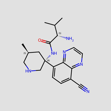 CC(C)[C@H](N)C(=O)N[C@]1(c2ccc(C#N)c3nccnc23)CNC[C@@H](C)C1